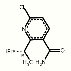 CC(C)[C@@H](C)c1nc(Cl)ccc1C(N)=O